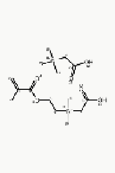 C=C(C)C(=O)OCC[N+](C)(C)CC(=O)O.C[N+](C)(C)CC(=O)O